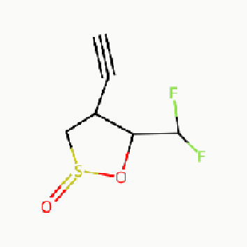 C#CC1CS(=O)OC1C(F)F